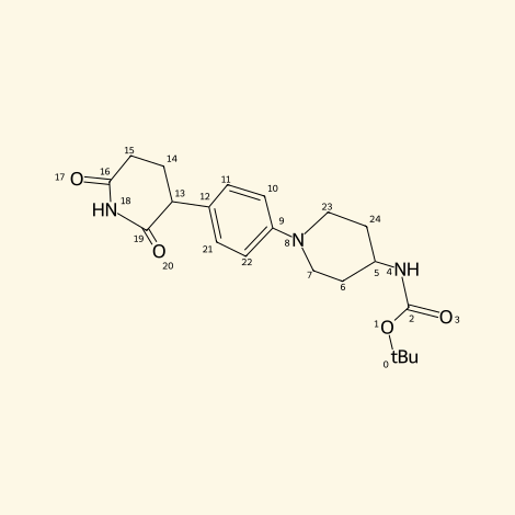 CC(C)(C)OC(=O)NC1CCN(c2ccc(C3CCC(=O)NC3=O)cc2)CC1